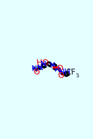 CN(C)C(=O)C1CN(c2ccc([C@]3(O)CC[C@@H](N4CCC5C4CCN5C(=O)CNC(=O)c4cccc(C(F)(F)F)c4)CC3)nc2)C1